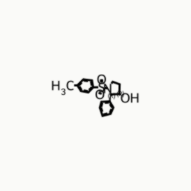 Cc1ccc(S(=O)(=O)N2CC[C@@H](O)[C@H]2c2ccccc2)cc1